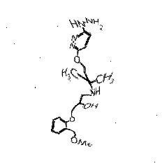 COCc1ccccc1OCC(O)CNC(C)(C)COc1ccc(NN)nn1